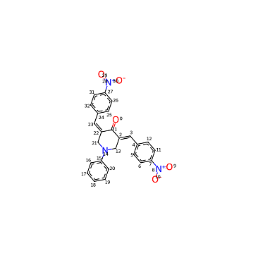 O=C1C(=Cc2ccc([N+](=O)[O-])cc2)CN(c2ccccc2)CC1=Cc1ccc([N+](=O)[O-])cc1